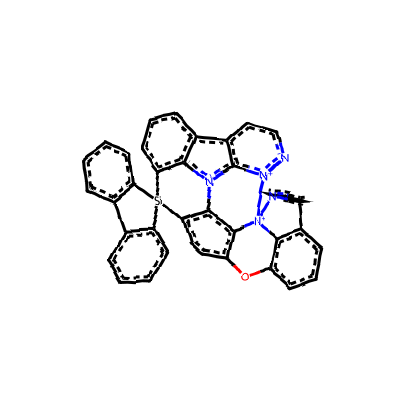 c1ccc2c(c1)-c1ccccc1[Si]21c2ccc3c4c2-n2c5c1cccc5c1ccn[n+](c12)[N+]41c2c(cccc2-c2cccc[n+]21)O3